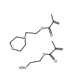 C=C(C)C(=O)OCCCCCCCCCCCC.C=C(C)C(=O)OCCN1CCOCC1